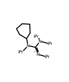 CC(C)/N=C(\N(C(C)C)C(C)C)N(C(C)C)C1CCCCC1